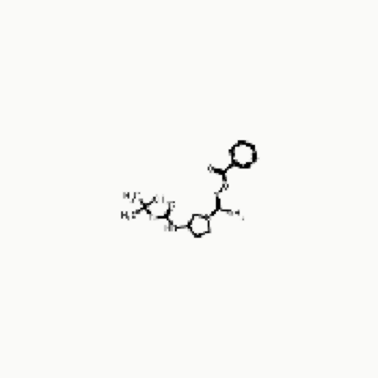 CC(C)(C)OC(=O)NC1CCN(/C(N)=N/OC(=O)c2ccccc2)C1